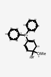 COC1(Br)C=CC(P(c2ccccc2)c2ccccc2)=CC1